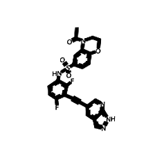 CC(=O)N1CCOc2ccc(S(=O)(=O)Nc3ccc(F)c(C#Cc4cnc5[nH]ncc5c4)c3F)cc21